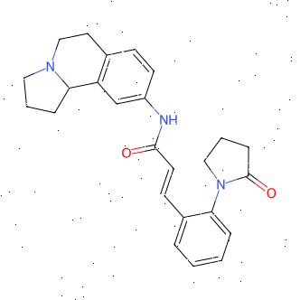 O=C(C=Cc1ccccc1N1CCCC1=O)Nc1ccc2c(c1)C1CCCN1CC2